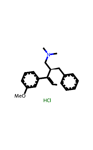 C/C=C(/c1cccc(OC)c1)[C@H](Cc1ccccc1)CN(C)C.Cl